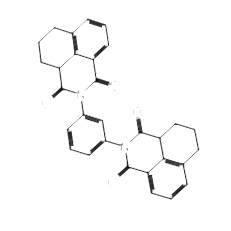 O=C1c2cccc3c2C(CCC3)C(=O)N1c1cccc(N2C(=O)c3cccc4c3C(CCC4)C2=O)c1